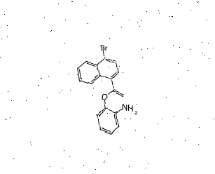 C=C(Oc1ccccc1N)c1ccc(Br)c2ccccc12